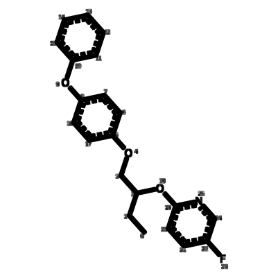 CCC(COc1ccc(Oc2ccccc2)cc1)Oc1ccc(F)cn1